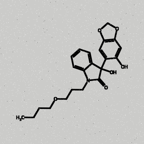 CCCCOCCCN1C(=O)C(O)(c2cc3c(cc2O)OCO3)c2ccccc21